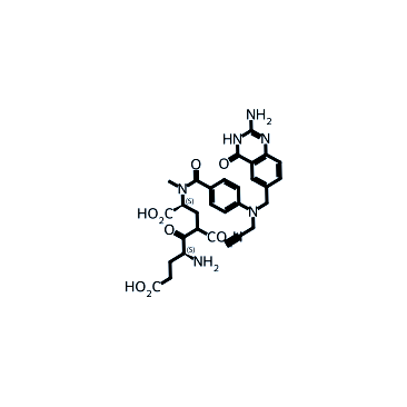 C#CCN(Cc1ccc2nc(N)[nH]c(=O)c2c1)c1ccc(C(=O)N(C)[C@@H](CC(C(=O)O)C(=O)[C@@H](N)CCC(=O)O)C(=O)O)cc1